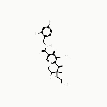 CNC1Cn2cc(C(=O)NCc3ccc(F)cc3F)c(=O)c(OC)c2C(=O)C1(C)CCOC